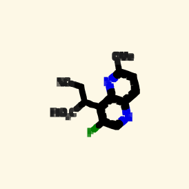 CCOC(=O)C(CC#N)c1c(F)cnc2ccc(OC)nc12